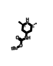 C[C@@H]1CC(NC(=O)OC(C)(C)C)C[C@@H](C)N1